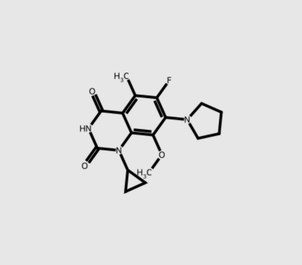 COc1c(N2CCCC2)c(F)c(C)c2c(=O)[nH]c(=O)n(C3CC3)c12